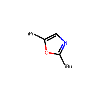 CCC(C)c1ncc(C(C)C)o1